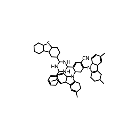 CC1=CC2C3=C(CCC(C)C3)N(C3=C(C#N)C=C(C4NC(C5=CC=CCC5)NC(C5CCC6SC7CCCCC7C6C5)N4)C(N4C5=C(C=C(C)CC5)C5C=C(C)C=CC54)C3)C2C=C1